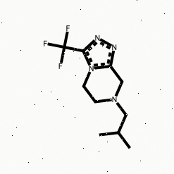 CC(C)CN1CCn2c(nnc2C(F)(F)F)C1